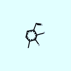 Cc1ccc(C=S)c(F)c1F